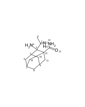 CC(=N)C1(N)C2CC3CC(C2)CC1(C(N)=O)C3